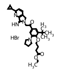 Br.CCOC(=O)CCCOc1c(N2CCCC2)cc(C(=O)CN2Cc3ccc(C4CC4)nc3C2=N)cc1C(C)(C)C